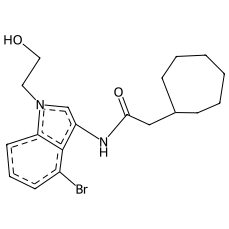 O=C(CC1CCCCCC1)Nc1cn(CCO)c2cccc(Br)c12